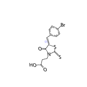 O=C(O)CCN1C(=O)/C(=C/c2ccc(Br)cc2)SC1=S